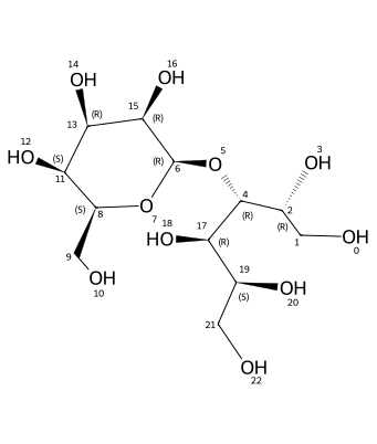 OC[C@@H](O)[C@@H](O[C@H]1O[C@@H](CO)[C@@H](O)[C@@H](O)[C@H]1O)[C@H](O)[C@@H](O)CO